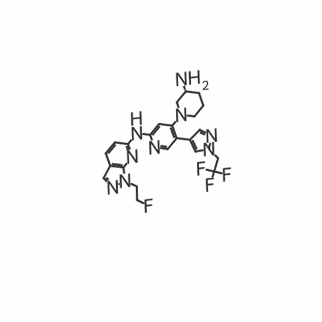 N[C@H]1CCCN(c2cc(Nc3ccc4cnn(CCF)c4n3)ncc2-c2cnn(CC(F)(F)F)c2)C1